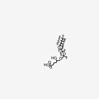 O=S(=O)(O)CCCC(O)COCC(F)(F)OC(F)(F)C(F)(F)OC(F)(F)C(F)(F)C(F)(F)C(F)(F)F